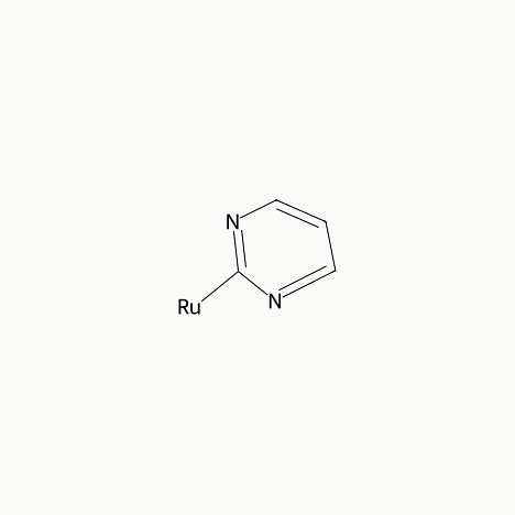 [Ru][c]1ncccn1